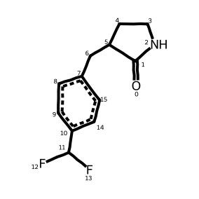 O=C1NCCC1Cc1ccc(C(F)F)cc1